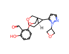 O=Cc1c(O)cccc1OCC12COCC[C@@H]1C2c1ccnn1C1COC1